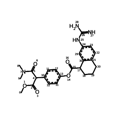 COC(=O)C(C(=O)N(C)C)c1ccc(OC(=O)C2CCCc3ccc(NC(=N)N)cc32)cc1